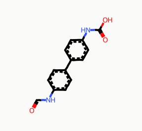 O=CNc1ccc(-c2ccc(NC(=O)O)cc2)cc1